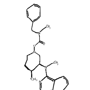 CC1CCN(OC(=O)N(C)Cc2ccccc2)CC1N(C)c1ncnc2[nH]ccc12